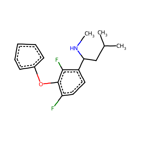 CNC(CC(C)C)c1ccc(F)c(Oc2ccccc2)c1F